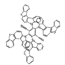 N#Cc1c(-n2c3ccccc3c3c4c(ccc32)sc2ccccc24)c(-n2c3ccccc3c3c4c(ccc32)sc2ccccc24)c(C#N)c(-n2c3ccccc3c3c4c(ccc32)sc2ccccc24)c1-n1c2ccccc2c2c3c(ccc21)sc1ccccc13